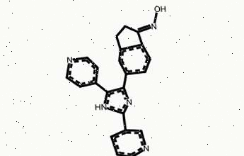 ON=C1CCc2cc(-c3nc(-c4cccnc4)[nH]c3-c3ccncc3)ccc21